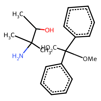 CC(O)C(C)(C)N.COC(C(=O)O)(c1ccccc1)c1ccccc1